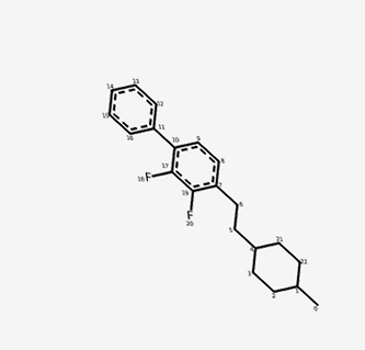 CC1CCC(CCc2ccc(-c3ccccc3)c(F)c2F)CC1